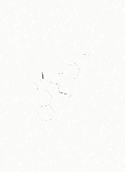 CCCCOC1CCCC(C[C@@](CCC2CCCCC2)(NC=N)C(=O)N(C)C)C1